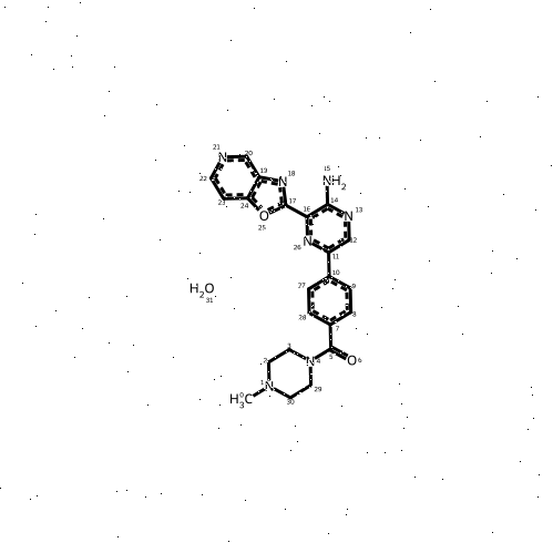 CN1CCN(C(=O)c2ccc(-c3cnc(N)c(-c4nc5cnccc5o4)n3)cc2)CC1.O